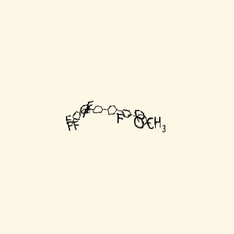 CC1COC(c2ccc(C3CCC(C4CCC(C(F)(F)Oc5ccc(C(F)(F)F)cc5)CC4)CC3)c(F)c2)OC1